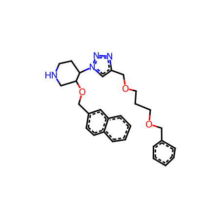 c1ccc(COCCCOCc2cn(C3CCNCC3OCc3ccc4ccccc4c3)nn2)cc1